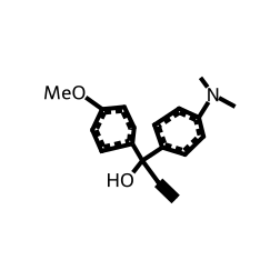 C#CC(O)(c1ccc(OC)cc1)c1ccc(N(C)C)cc1